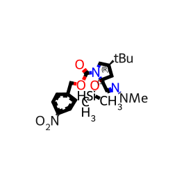 CNN=C[C@@]1(O[SiH](C)C)C[C@H](C(C)(C)C)CN1C(=O)OCc1ccc([N+](=O)[O-])cc1